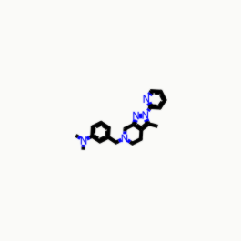 Cc1c2c(nn1-c1ccccn1)CN(Cc1cccc(N(C)C)c1)CC2